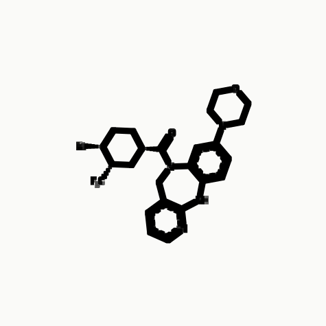 CC[C@@H]1CC[C@H](C(=O)N2Cc3cccnc3Nc3ccc(N4CCOCC4)cc32)C[C@@H]1C(F)(F)F